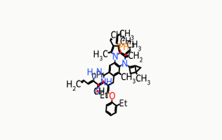 C=C/C=C(CCC)/C(=N/CC)NC(N)c1cc(-n2c(C)c(C=C)c(C)c2/C=C\C)c(N(C(=C)CP/C=C\C)C2=C3CC3(C)C2)c(C)c1CC(/C=C\C)=C\Oc1ccccc1CC